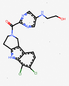 O=C(c1ncc(NCCO)cn1)N1CCc2[nH]c3c(Cl)c(Cl)ccc3c2C1